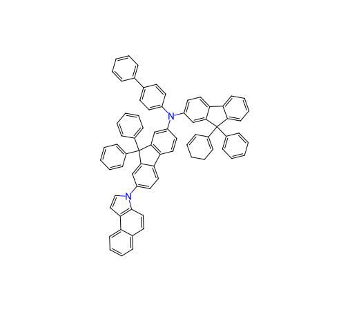 C1=CC(C2(c3ccccc3)c3ccccc3-c3ccc(N(c4ccc(-c5ccccc5)cc4)c4ccc5c(c4)C(c4ccccc4)(c4ccccc4)c4cc(-n6ccc7c8ccccc8ccc76)ccc4-5)cc32)=CCC1